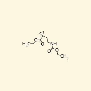 CCOC(=O)NCCC1(C(=O)OCC)CC1